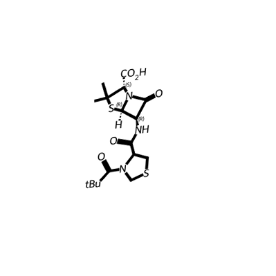 CC(C)(C)C(=O)N1CSCC1C(=O)N[C@@H]1C(=O)N2[C@@H]1SC(C)(C)[C@@H]2C(=O)O